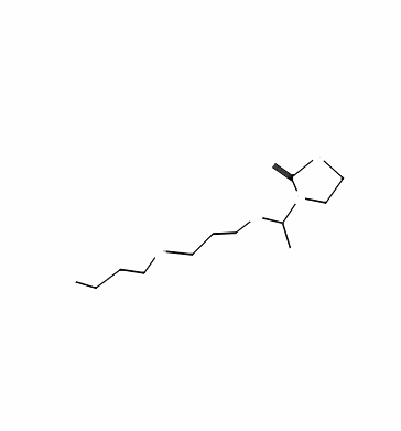 CC(OCCCOCCCO)N1CCNC1=O